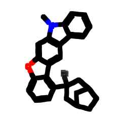 CCC1(c2cccc3oc4cc5c(cc4c23)c2ccccc2n5C)CC2CCC(C2)C1